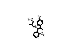 COc1ccccc1-c1c(I)c2ccc(Br)cc2n1CC(C)CO